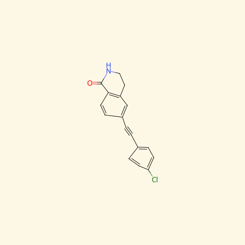 O=C1NCCc2cc(C#Cc3ccc(Cl)cc3)ccc21